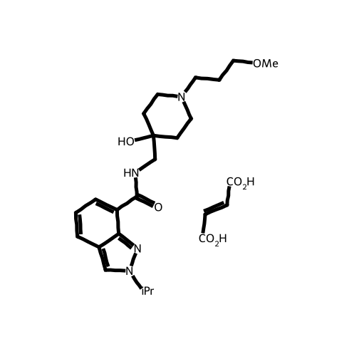 COCCCN1CCC(O)(CNC(=O)c2cccc3cn(C(C)C)nc23)CC1.O=C(O)/C=C/C(=O)O